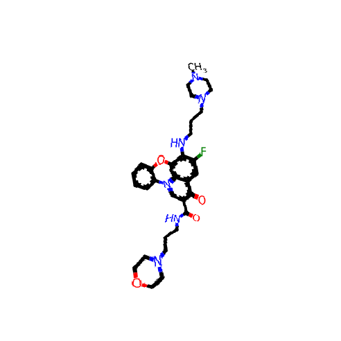 CN1CCN(CCCNc2c(F)cc3c(=O)c(C(=O)NCCCN4CCOCC4)cn4c3c2Oc2ccccc2-4)CC1